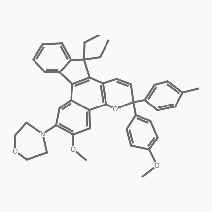 CCC1(CC)c2ccccc2-c2c1c1c(c3cc(OC)c(N4CCOCC4)cc23)OC(c2ccc(C)cc2)(c2ccc(OC)cc2)C=C1